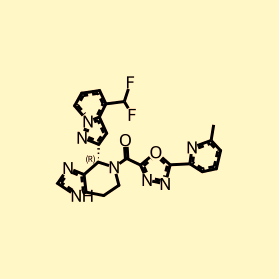 Cc1cccc(-c2nnc(C(=O)N3CCc4[nH]cnc4[C@@H]3c3cc4c(C(F)F)cccn4n3)o2)n1